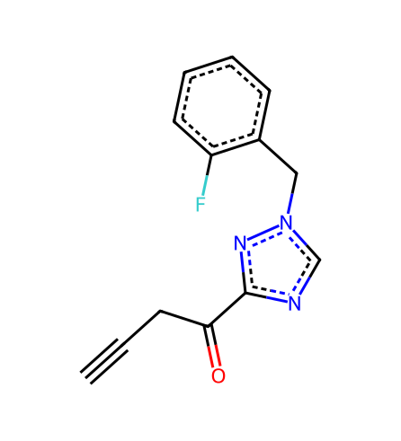 C#CCC(=O)c1ncn(Cc2ccccc2F)n1